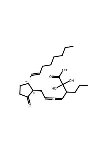 CCCCCCC=C[C@H]1CCC(=O)[C@@H]1CC=C=CC(CCC)C(O)(O)C(=O)O